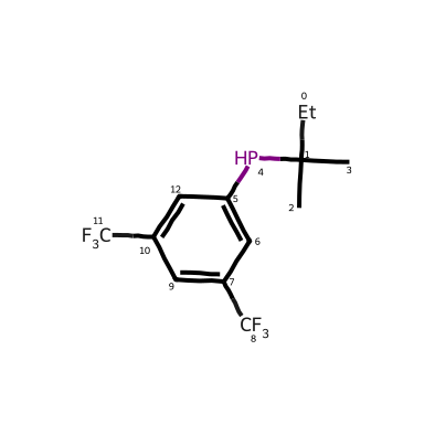 CCC(C)(C)Pc1cc(C(F)(F)F)cc(C(F)(F)F)c1